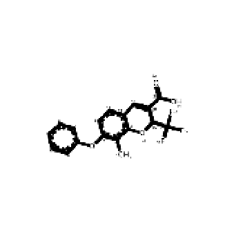 Cc1c(Oc2ccccc2)ccc2c1OC(C(F)(F)F)C(C(=O)O)=C2